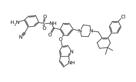 CC1(C)CCC(CN2CCN(c3ccc(C(=O)NS(=O)(=O)c4ccc(N)c(C#N)c4)c(Oc4cnc5[nH]ccc5c4)c3)CC2)=C(c2ccc(Cl)cc2)C1